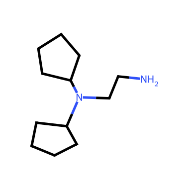 NCCN(C1CCCC1)C1CCCC1